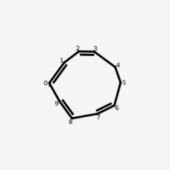 [C]1=C\C=C/CC/C=C\C=C/1